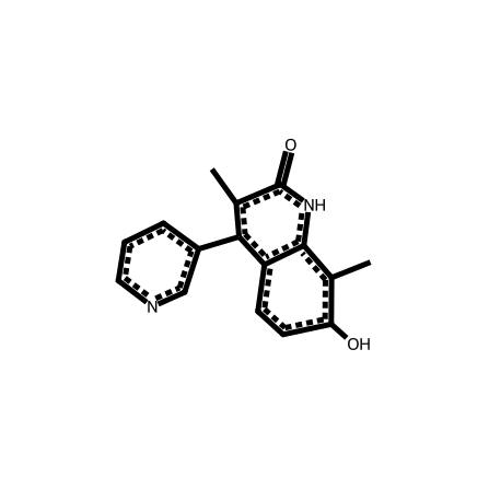 Cc1c(-c2cccnc2)c2ccc(O)c(C)c2[nH]c1=O